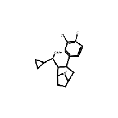 COC(C1CC1)C1C(c2ccc(Cl)c(Cl)c2)CC2CCC1N2C